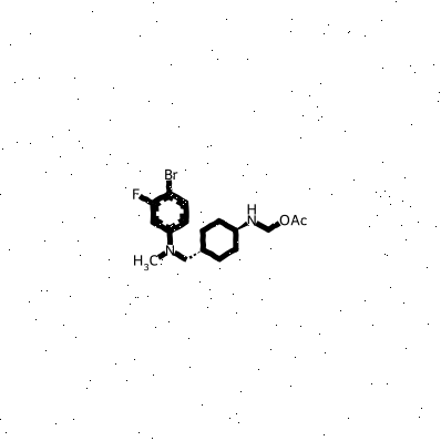 CC(=O)OCN[C@H]1CC[C@H](CN(C)c2ccc(Br)c(F)c2)CC1